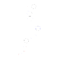 NC1=C(/C=C(\N)c2cccc(F)c2O)N2CC(Oc3ncc(CN4CCN(c5ccc6c(c5)C(=O)N(C5CCC(=O)NC5=O)C6)CC4)cn3)CC2(C(F)F)CN1